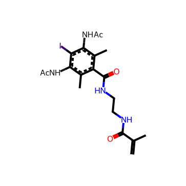 C=C(C)C(=O)NCCNC(=O)c1c(C)c(NC(C)=O)c(I)c(NC(C)=O)c1C